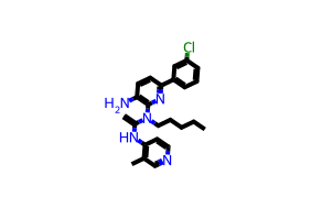 C=C(Nc1ccncc1C)N(CCCCC)c1nc(-c2cccc(Cl)c2)ccc1N